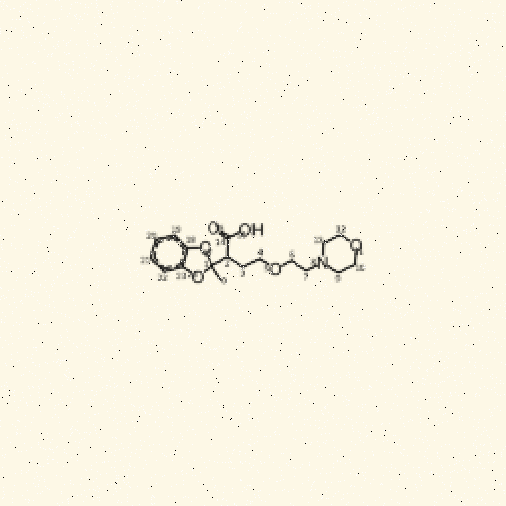 CC1(C(CCOCCN2CCOCC2)C(=O)O)Oc2ccccc2O1